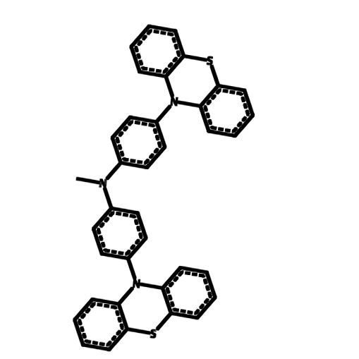 CN(c1ccc(N2c3ccccc3Sc3ccccc32)cc1)c1ccc(N2c3ccccc3Sc3ccccc32)cc1